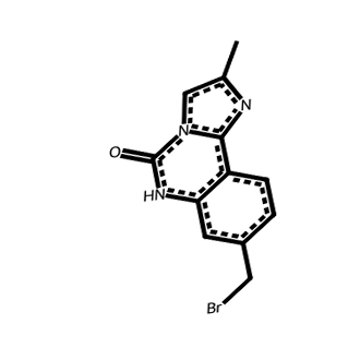 Cc1cn2c(=O)[nH]c3cc(CBr)ccc3c2n1